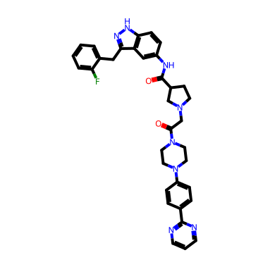 O=C(Nc1ccc2[nH]nc(Cc3ccccc3F)c2c1)C1CCN(CC(=O)N2CCN(c3ccc(-c4ncccn4)cc3)CC2)C1